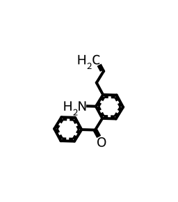 C=CCc1cccc(C(=O)c2ccccc2)c1N